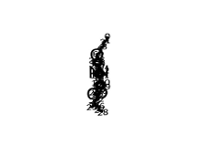 CCCCCCOc1ccc(-c2ncc(-c3ccc(OC(=O)CCC(C)CCC)cc3)cn2)cc1